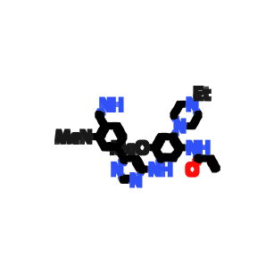 C=CC(=O)Nc1cc(Nc2cc(-c3ccc(C=N)c(NC)c3)ncn2)c(OC)cc1N1CCN(CC)CC1